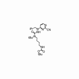 CC(C)CN(NC(=O)N(CCCCNC(=O)OC(C)(C)C)C(C)(C)C)c1ccnc(C#N)n1